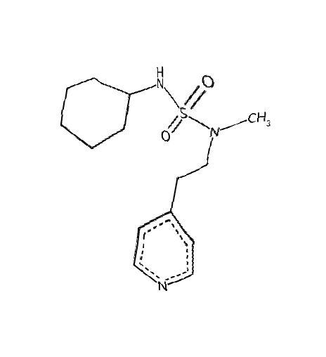 CN(CCc1ccncc1)S(=O)(=O)NC1CCCCC1